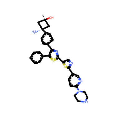 C[C@]1(O)C[C@@](N)(c2ccc(-c3nc(-c4cnc(-c5ccc(N6CCNCC6)nc5)s4)sc3-c3ccccc3)cc2)C1